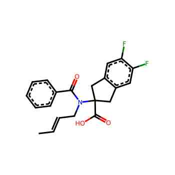 CC=CCN(C(=O)c1ccccc1)C1(C(=O)O)Cc2cc(F)c(F)cc2C1